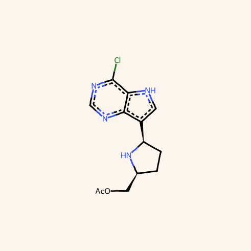 CC(=O)OC[C@@H]1CC[C@H](c2c[nH]c3c(Cl)ncnc23)N1